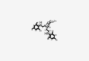 Cc1cc(C)c(NCCN(C)CCNc2c(C)cc(C)cc2C)c(C)c1.[Cl-].[Cl-].[Co+2]